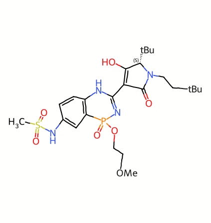 COCCOP1(=O)N=C(C2=C(O)[C@H](C(C)(C)C)N(CCC(C)(C)C)C2=O)Nc2ccc(NS(C)(=O)=O)cc21